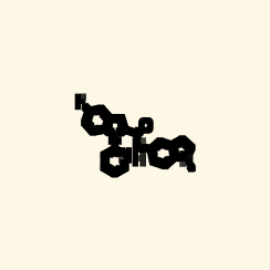 Cn1ccc2cc(NC(=O)c3cc4cc(F)ccc4n3-c3ccccn3)ccc21